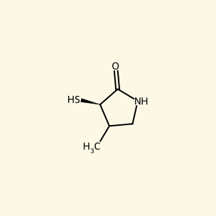 CC1CNC(=O)[C@@H]1S